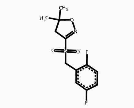 CC1(C)CC(S(=O)(=O)Cc2cc(F)ccc2F)=NO1